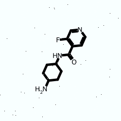 NC1CCC(NC(=O)c2ccncc2F)CC1